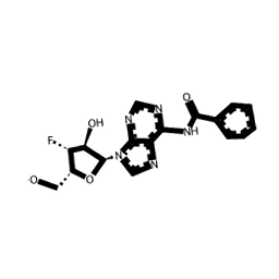 [O]C[C@H]1O[C@@H](n2cnc3c(NC(=O)c4ccccc4)ncnc32)[C@H](O)[C@H]1F